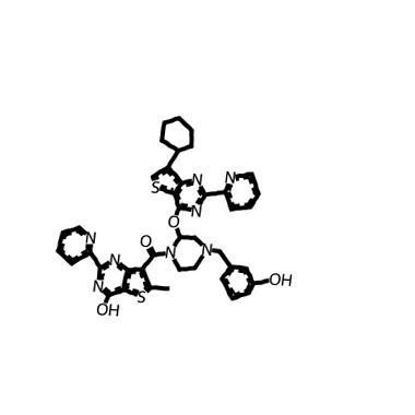 Cc1sc2c(O)nc(-c3ccccn3)nc2c1C(=O)N1CCN(Cc2cccc(O)c2)CC1Oc1nc(-c2ccccn2)nc2c(C3CCCCC3)csc12